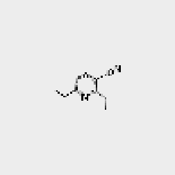 CCc1ccc(C#N)c(CC)n1